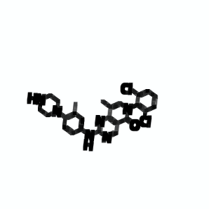 Cc1cc(Nc2ncc3c(=O)n(-c4c(Cl)cccc4Cl)cc(C)c3n2)ccc1N1CCNCC1